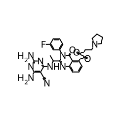 CC(Nc1nc(N)nc(N)c1C#N)c1nc2cccc(S(=O)(=O)CCN3CCCC3)c2c(=O)n1-c1cccc(F)c1